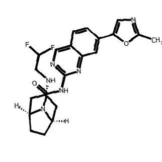 Cc1ncc(-c2ccc3cnc(NC(=O)N4[C@@H]5CC[C@H]4C[C@H](NCC(F)F)C5)nc3c2)o1